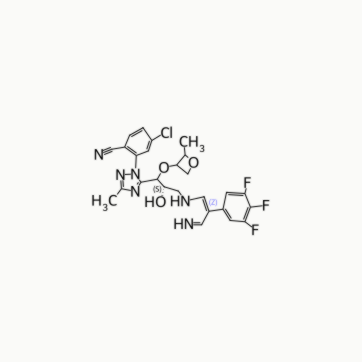 Cc1nc(C(OC2COC2C)[C@@H](O)CN/C=C(\C=N)c2cc(F)c(F)c(F)c2)n(-c2cc(Cl)ccc2C#N)n1